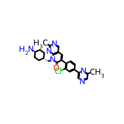 Cc1cncc(-c2ccc(-c3cc4cnc(C)nc4n(C[C@H]4CC[C@H](N)CC4)c3=O)c(Cl)c2)n1